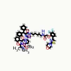 C[C@@H](C(=O)N[C@H](C(=O)N1CCC[C@H]1C(=O)N[C@H](C(=O)NCCCCCCNC(=O)COc1c(-c2csc(N3CCOCC3)n2)ccc(F)c1F)C(c1ccccc1)c1ccccc1)C1CCCCC1)N(C)C(=O)OC(C)(C)C